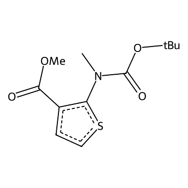 COC(=O)c1ccsc1N(C)C(=O)OC(C)(C)C